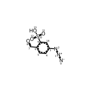 [N-]=[N+]=Nc1ccc(C=O)c(S(=O)(=O)O)c1